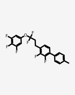 Cc1ccc(-c2ccc(CCC(F)(F)Oc3cc(F)c(F)c(F)c3)c(F)c2F)cc1